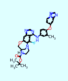 Cc1cc(Nc2ncnc3cc4c(c(F)c23)N2CCN(C(=O)OC(C)(C)C)[C@H](CO4)C2)ccc1Oc1ccn2ncnc2c1